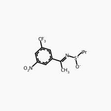 CC(=N[S+]([O-])C(C)C)c1cc([N+](=O)[O-])cc(C(F)(F)F)c1